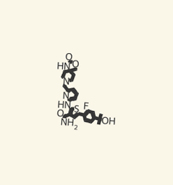 CC(C)(O)c1ccc(-c2cc(C(N)=O)c(Nc3cccc(CN4CCC5(CC4)COC(=O)N5)n3)s2)c(F)c1